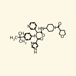 CC(C)(C)c1ccc(N(C(=O)c2c[nH]cn2)C(C(=O)NC2CCN(C(=O)C3CCOC3)CC2)c2cccnc2)cc1